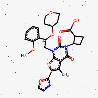 COc1ccccc1[C@H](Cn1c(=O)n(C2CCC2C(=O)O)c(=O)c2c(C)c(-c3ncco3)sc21)OC1CCOCC1